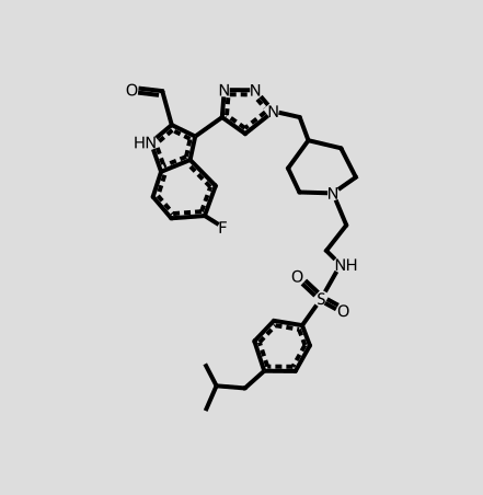 CC(C)Cc1ccc(S(=O)(=O)NCCN2CCC(Cn3cc(-c4c(C=O)[nH]c5ccc(F)cc45)nn3)CC2)cc1